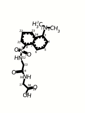 CN(C)c1cccc2c(S(=O)(=O)NCC(=O)NCC(=O)O)cccc12